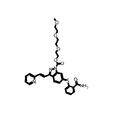 COCCOCCOCCOC(=O)n1nc(/C=C/c2ccccn2)c2ccc(Sc3ccccc3C(N)=O)cc21